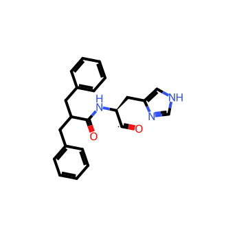 O=[C][C@H](Cc1c[nH]cn1)NC(=O)C(Cc1ccccc1)Cc1ccccc1